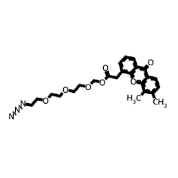 Cc1ccc2c(=O)c3cccc(CC(=O)OCOCCOCCOCCN=[N+]=[N-])c3oc2c1C